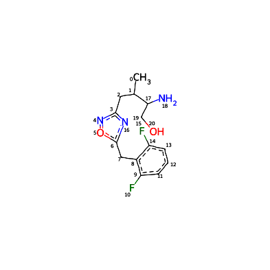 CC(Cc1noc(Cc2c(F)cccc2F)n1)C(N)CO